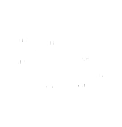 CC(C)(C)C1=CCC(C(C)(C)C)=C1.[KH]